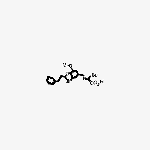 CCC(C)C(/N=C/c1cc(Br)c(OC(=O)C=Cc2ccccc2)c(OC)c1)C(=O)O